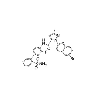 Cc1cc(C(=O)Nc2ccc(-c3ccccc3S(N)(=O)=O)cc2F)n(-c2ccc3cc(Br)ccc3c2)n1